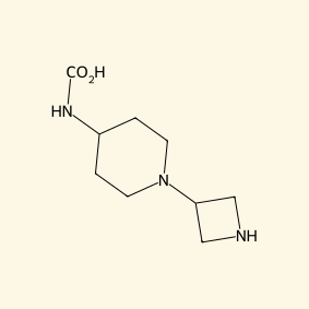 O=C(O)NC1CCN(C2CNC2)CC1